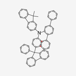 CC1(C)c2ccccc2-c2ccc(N(c3ccc(C4(c5ccccc5)c5ccccc5-c5ccccc54)cc3)c3cc(-c4ccccc4)ccc3-c3ccccc3)cc21